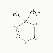 CC(C)(C)C1(C(=O)O)C=CCC=C1